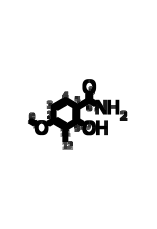 COc1ccc(C(N)=O)c(O)c1C